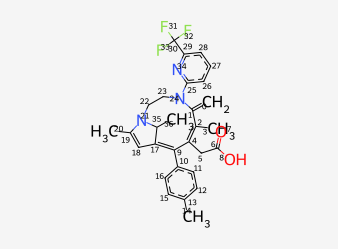 C=C1/C(C)=C(CC(=O)O)\C(c2ccc(C)cc2)=C2\C=C(C)N(CCN1c1cccc(C(F)(F)F)n1)C2C